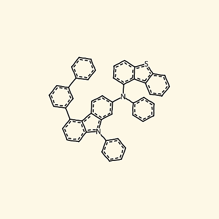 c1ccc(-c2cccc(-c3cccc4c3c3ccc(N(c5ccccc5)c5cccc6sc7ccccc7c56)cc3n4-c3ccccc3)c2)cc1